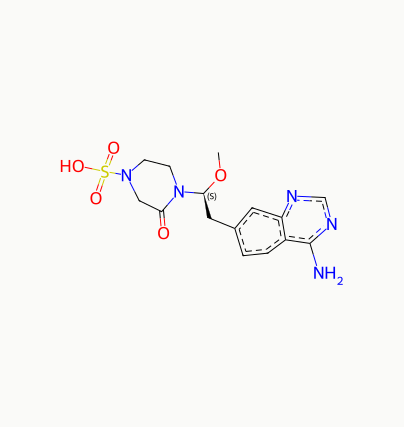 CO[C@@H](Cc1ccc2c(N)ncnc2c1)N1CCN(S(=O)(=O)O)CC1=O